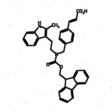 Cc1[nH]c2ccccc2c1CCN(Cc1ccc(/C=C/C(=O)O)cc1)C(=O)OCC1c2ccccc2-c2ccccc21